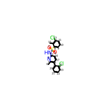 Cc1nc(NS(=O)(=O)c2cccc(Cl)c2C)ccc1-c1ccccc1Cl